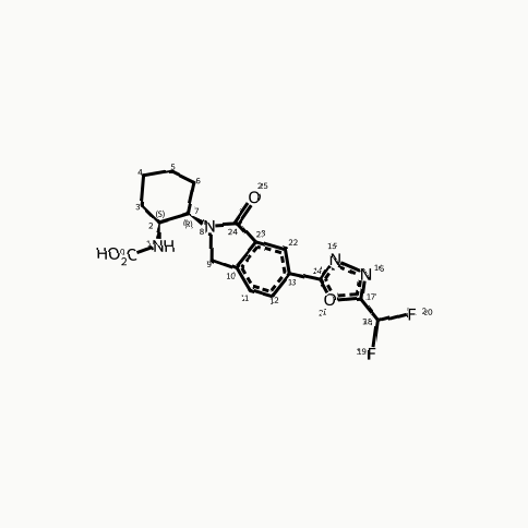 O=C(O)N[C@H]1CCCC[C@H]1N1Cc2ccc(-c3nnc(C(F)F)o3)cc2C1=O